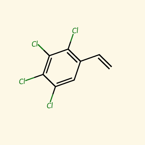 C=Cc1cc(Cl)c(Cl)c(Cl)c1Cl